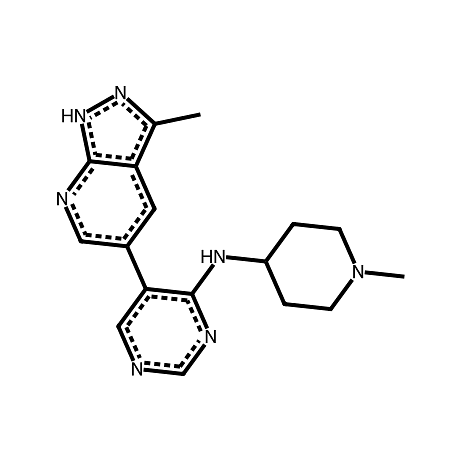 Cc1n[nH]c2ncc(-c3cncnc3NC3CCN(C)CC3)cc12